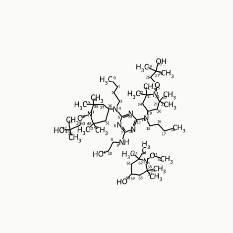 CCCCN(c1nc(NCCO)nc(N(CCCC)C2CC(C)(C)N(OCC(C)(C)O)C(C)(C)C2)n1)C1CC(C)(C)N(OCC(C)(C)O)C(C)(C)C1.CON1C(C)(C)CC(O)CC1(C)C